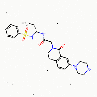 O=C(O)C[C@H](NC(=O)CN1CCc2ccc(N3CCNCC3)cc2C1=O)NS(=O)(=O)c1ccccc1